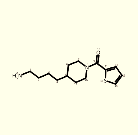 NCCCCC1CCN(C(=O)c2cccs2)CC1